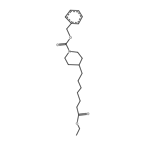 CCOC(=O)CCCCCCC1CCN(C(=O)OCc2ccccc2)CC1